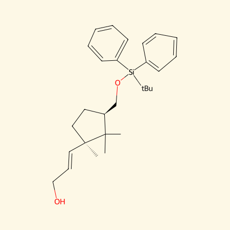 CC1(C)[C@H](CO[Si](c2ccccc2)(c2ccccc2)C(C)(C)C)CC[C@]1(C)/C=C/CO